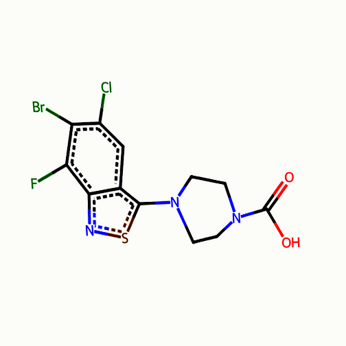 O=C(O)N1CCN(c2snc3c(F)c(Br)c(Cl)cc23)CC1